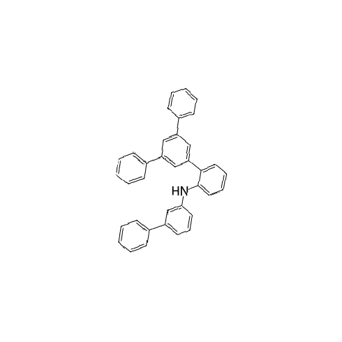 c1ccc(-c2cccc(Nc3ccccc3-c3cc(-c4ccccc4)cc(-c4ccccc4)c3)c2)cc1